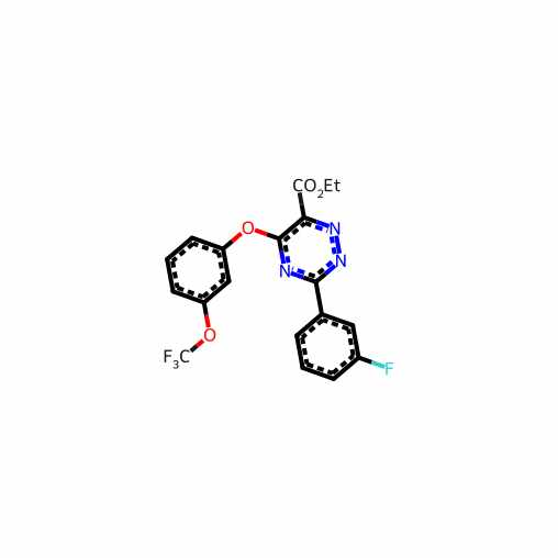 CCOC(=O)c1nnc(-c2cccc(F)c2)nc1Oc1cccc(OC(F)(F)F)c1